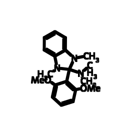 COc1cccc(OC)c1C1(N(C)C)N(C)c2ccccc2N1C